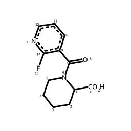 O=C(O)C1CCCCN1C(=O)c1cccnc1F